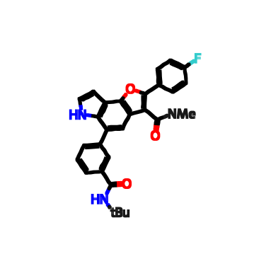 CNC(=O)c1c(-c2ccc(F)cc2)oc2c1cc(-c1cccc(C(=O)NC(C)(C)C)c1)c1[nH]ccc12